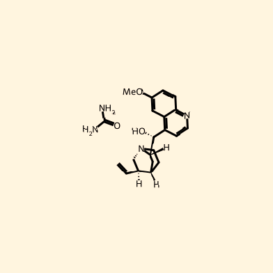 C=C[C@H]1C[N@]2CC[C@H]1C[C@H]2[C@H](O)c1ccnc2ccc(OC)cc12.NC(N)=O